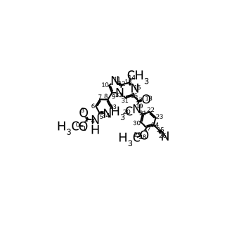 COC(=O)Nc1ccc(-c2cnc3c(C)nc(C(=O)N(C)c4ccc(C#N)c(OC)c4)cn23)cn1